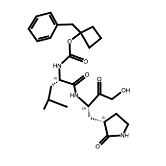 CC(C)C[C@H](NC(=O)OC1(Cc2ccccc2)CCC1)C(=O)N[C@@H](C[C@@H]1CCNC1=O)C(=O)CO